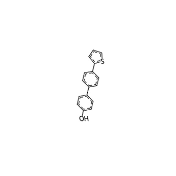 Oc1ccc(-c2ccc(-c3cccs3)cc2)cc1